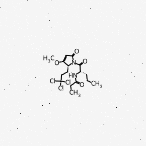 CCC[C@H](NC(=O)CC)C(=O)N1C(=O)C=C(OC)[C@@H]1CCC(Cl)(Cl)Cl